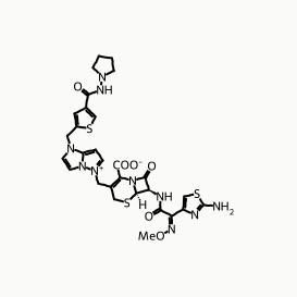 CO/N=C(\C(=O)N[C@@H]1C(=O)N2C(C(=O)[O-])=C(C[n+]3ccc4n(Cc5cc(C(=O)NN6CCCC6)cs5)ccn43)CS[C@H]12)c1csc(N)n1